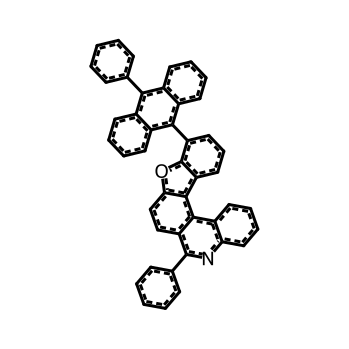 c1ccc(-c2c3ccccc3c(-c3cccc4c3oc3ccc5c(-c6ccccc6)nc6ccccc6c5c34)c3ccccc23)cc1